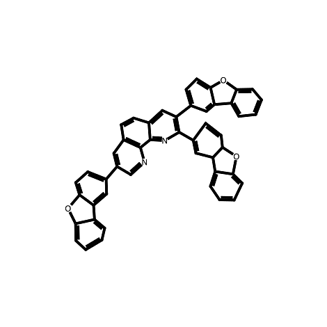 C1=CC2Oc3ccccc3C2C=C1c1nc2c(ccc3cc(-c4ccc5oc6ccccc6c5c4)cnc32)cc1-c1ccc2oc3ccccc3c2c1